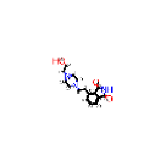 O=C1NC(=O)c2c(CCN3CCN(CCO)CC3)cccc21